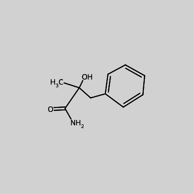 CC(O)(Cc1ccccc1)C(N)=O